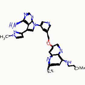 CCc1cc(NCCOC)c2ncc(OCc3cncc(-n4cc(-c5ccn(C)n5)c5c(N)ncnc54)c3)cc2n1